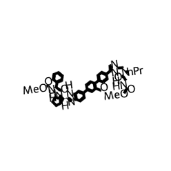 CCCN(Cc1ncc(-c2ccc3c(c2)OCc2cc(-c4ccc5nc([C@@H]6[C@H]7CC[C@H](C7)N6C(=O)[C@H](NC(=O)OC)c6ccccc6)[nH]c5c4)ccc2-3)[nH]1)C(=O)CNC(=O)OC